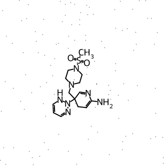 CS(=O)(=O)N1CCN(CC2(N3N=CC=CN3)C=NC(N)=CC2)CC1